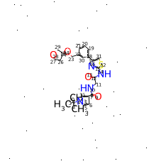 CC(C)(C)n1ccc(C(=O)NCC(=O)Nc2nc(-c3cccc(CO[C@H]4CCOC4)c3)cs2)c1